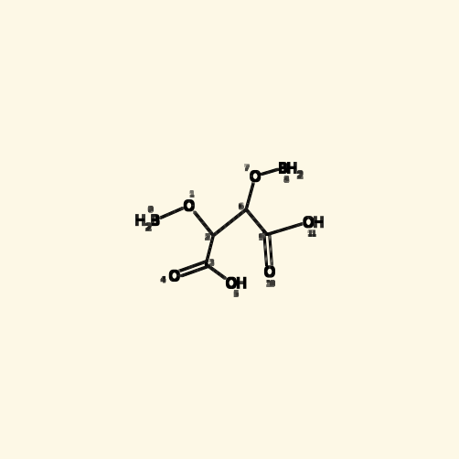 BOC(C(=O)O)C(OB)C(=O)O